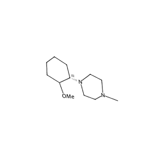 COC1CCCC[C@@H]1N1CCN(C)CC1